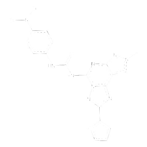 CCN(CC)c1ccc(NC(=O)Nc2nc3nn(C)cc3c3nc(-c4ccco4)nn23)cc1